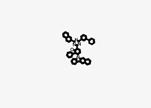 C1=CCCC(c2cccc(-c3nc(-c4ccc5ccccc5c4)nc(-c4ccc(-n5c6ccccc6c6cc7ccccc7cc65)c5c4oc4ccccc45)n3)c2)=C1